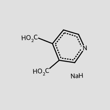 O=C(O)c1ccncc1C(=O)O.[NaH]